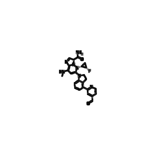 CNC1=C2N=CC(C(N)=O)N2N([C@@H]2C[C@@H]2F)C(N2CCc3c(-c4cc(C=O)ccn4)cccc32)=C1